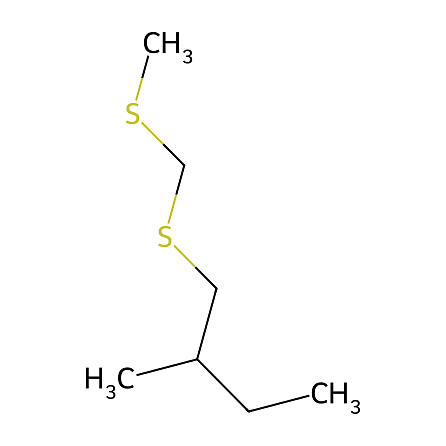 CCC(C)CSCSC